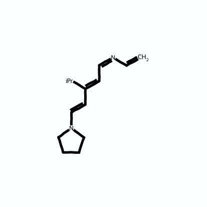 C=C\N=C/C=C(/C=C/N1CCCC1)C(C)C